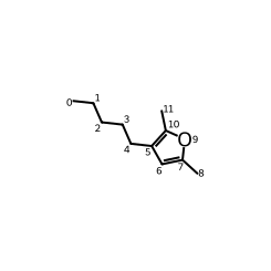 CCCCCc1cc(C)oc1C